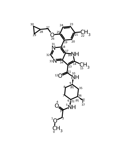 COCC(=O)N[C@H]1CC[C@@H](NC(=O)c2c(C)[nH]c3c(-c4cc(C)ccc4OCC4CC4)ncnc23)C[C@H]1F